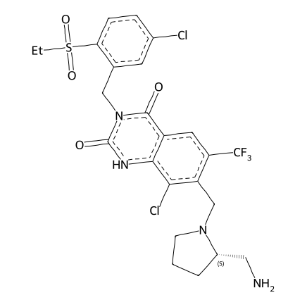 CCS(=O)(=O)c1ccc(Cl)cc1Cn1c(=O)[nH]c2c(Cl)c(CN3CCC[C@H]3CN)c(C(F)(F)F)cc2c1=O